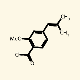 COc1cc(C=C(C)C)ccc1C(=O)Cl